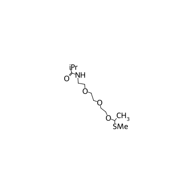 CSC(C)OCCOCCOCCNC(=O)C(C)C